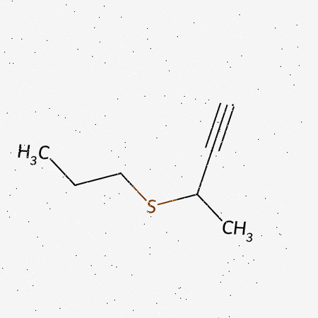 [C]#CC(C)SCCC